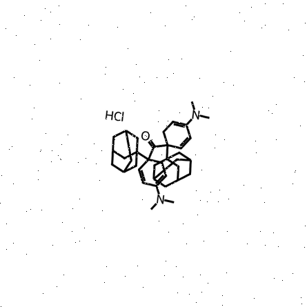 CN(C)C1=CCC(C(=O)C2(C34CC5CC(CC(C5)C3)C4)C=CC(N(C)C)=CC2)(C23CC4CC(CC(C4)C2)C3)C=C1.Cl